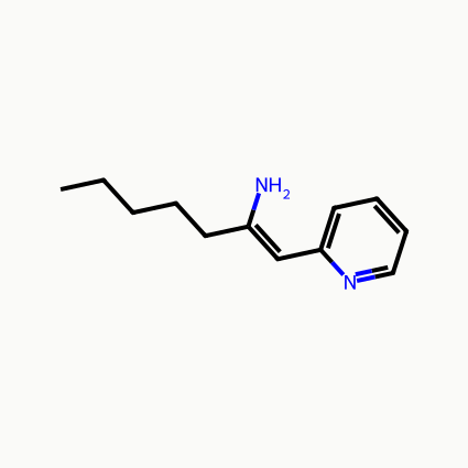 CCCCCC(N)=Cc1ccccn1